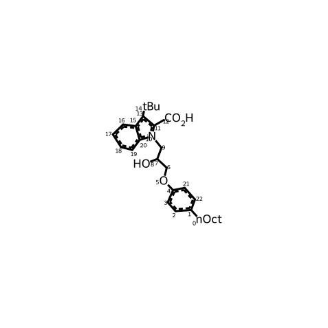 CCCCCCCCc1ccc(OCC(O)Cn2c(C(=O)O)c(C(C)(C)C)c3ccccc32)cc1